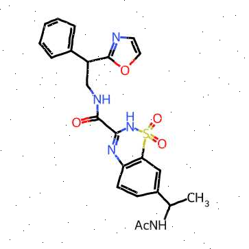 CC(=O)NC(C)c1ccc2c(c1)S(=O)(=O)NC(C(=O)NCC(c1ccccc1)c1ncco1)=N2